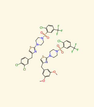 COc1cc(Cc2csc(N3CCN(S(=O)(=O)c4cc(C(F)(F)F)ccc4Cl)CC3)n2)cc(OC)c1.O=S(=O)(c1cc(C(F)(F)F)ccc1Cl)N1CCN(c2nc(Cc3ccc(Cl)c(Cl)c3)cs2)CC1